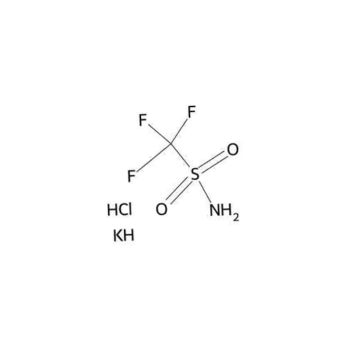 Cl.NS(=O)(=O)C(F)(F)F.[KH]